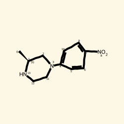 C[C@H]1CN(c2ccc([N+](=O)[O-])cc2)CCN1